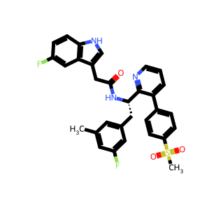 Cc1cc(F)cc(C[C@H](NC(=O)Cc2c[nH]c3ccc(F)cc23)c2ncccc2-c2ccc(S(C)(=O)=O)cc2)c1